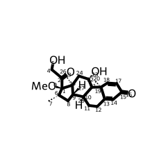 CO[C@]1(C(=O)CO)[C@@H](C)C[C@H]2[C@@H]3CCC4=CC(=O)C=C[C@]4(C)C3[C@@H](O)C[C@@]21C